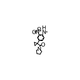 CNc1ccc(C2(C(=O)N3CCCC3)CC2)cc1[N+](=O)[O-]